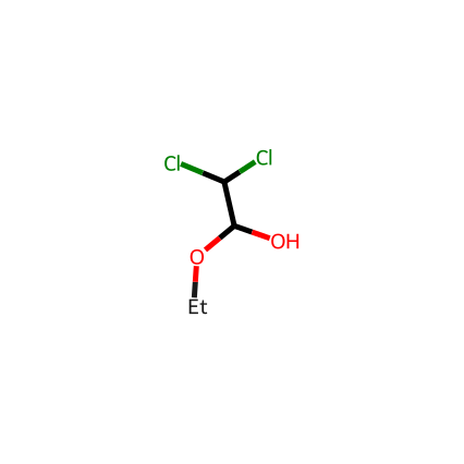 CCOC(O)C(Cl)Cl